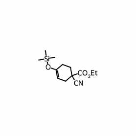 CCOC(=O)C1(C#N)CC=C(O[Si](C)(C)C)CC1